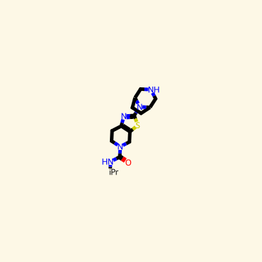 CC(C)NC(=O)N1CCc2nc(N3C4CCC3CNC4)sc2C1